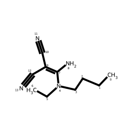 CCCCN(CC)C(N)=C(C#N)C#N